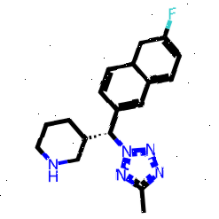 Cc1nnn([C@@H](C2=CC3=CC=C(F)CC3C=C2)C2CCCNC2)n1